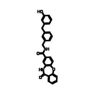 O=C(NCc1cccc(Cc2cccc(O)c2)c1)c1ccc2c(c1)NC(=O)c1ccccc1O2